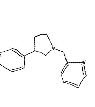 c1ccc(C2CCN(Cc3ccccn3)C2)cc1